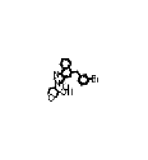 O=c1c2cc(Cc3cccc(Br)c3)c3ccccc3c2ncn1[C@H]1CCOC[C@@H]1O